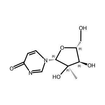 C[C@@]1(O)[C@H](O)[C@@H](CO)O[C@H]1n1ccc(=O)nc1